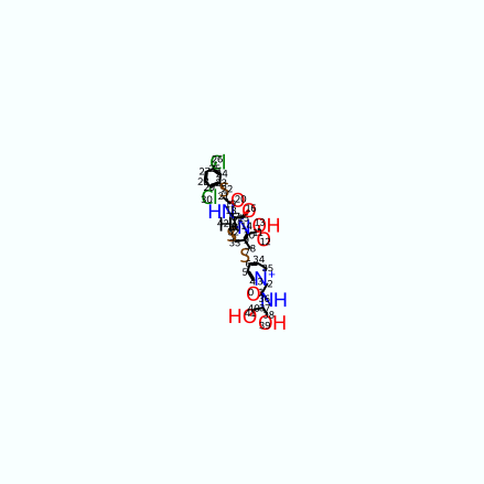 O=C(C[n+]1ccc(SCC2=C(C(=O)O)N3C(=O)[C@H](NC(=O)CSc4cc(Cl)ccc4Cl)[C@H]3SC2)cc1)NC(CO)CO